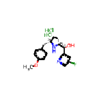 COc1ccc(C[C@@H]2CC[C@H]([C@@H](O)c3cncc(F)c3)N2)cc1.Cl.Cl